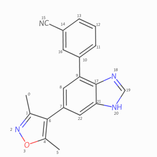 Cc1noc(C)c1-c1cc(-c2cccc(C#N)c2)c2nc[nH]c2c1